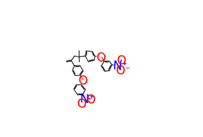 C=C(CC(C)(C)c1ccc(Oc2cccc([N+](=O)[O-])c2)cc1)c1ccc(Oc2cccc([N+](=O)[O-])c2)cc1